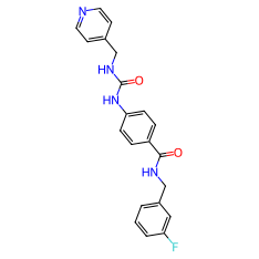 O=C(NCc1ccncc1)Nc1ccc(C(=O)NCc2cccc(F)c2)cc1